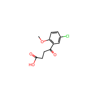 COc1ccc(Cl)cc1C(=O)CCC(=O)O